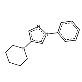 c1ccc(-n2cc(N3CCCCC3)cn2)cc1